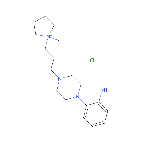 C[N+]1(CCCN2CCN(c3ccccc3N)CC2)CCCC1.[Cl-]